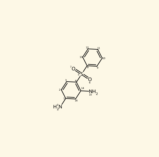 Nc1ccc(S(=O)(=O)c2ccccc2)c(N)c1